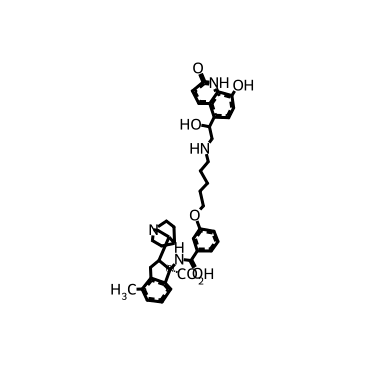 Cc1cccc2c1CC(C1CN3CCC1CC3)[C@]2(NC(=O)c1cccc(OCCCCCNCC(O)c2ccc(O)c3[nH]c(=O)ccc23)c1)C(=O)O